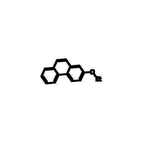 CCOc1ccc2c(ccc3ccccc32)c1